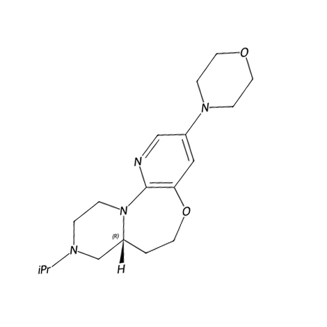 CC(C)N1CCN2c3ncc(N4CCOCC4)cc3OCC[C@@H]2C1